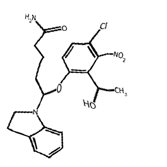 CC(O)c1c(OC(CCCC(N)=O)N2CCc3ccccc32)ccc(Cl)c1[N+](=O)[O-]